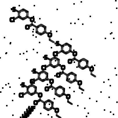 CCOc1ccc(C(=O)Oc2ccc([S])c(Cl)c2)cc1.CCOc1ccc(C(=O)Oc2ccc([S])c(Cl)c2)cc1.CCOc1ccc(C(=O)Oc2ccc([S])c(Cl)c2)cc1.CCOc1ccc(C(=O)Oc2ccc([S])c(Cl)c2)cc1.CCOc1ccc(C(=O)Oc2ccc([S])c(Cl)c2)cc1.F.F.F.F.F